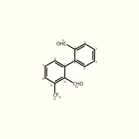 O=Cc1ccccc1-c1cccc(C(F)(F)F)c1C=O